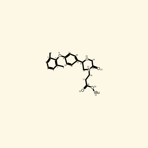 Cc1cccc(C)c1Oc1ccc(C2CN(CCC(=O)OC(C)(C)C)C(=O)CO2)cc1